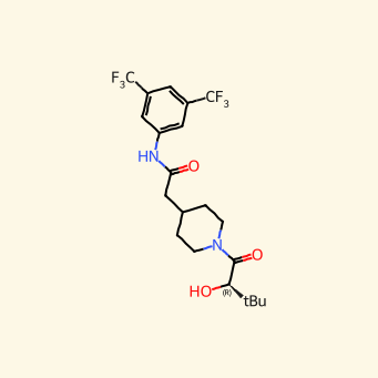 CC(C)(C)[C@@H](O)C(=O)N1CCC(CC(=O)Nc2cc(C(F)(F)F)cc(C(F)(F)F)c2)CC1